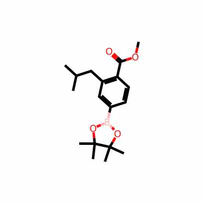 COC(=O)c1ccc(B2OC(C)(C)C(C)(C)O2)cc1CC(C)C